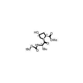 COC(=O)[C@@H]1C[C@@H](O)CN1C(=O)[C@@H](NC(=O)OC(C)(C)C)C(C)(C)C